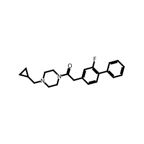 O=C(Cc1ccc(-c2ccccc2)c(F)c1)N1CCN(CC2CC2)CC1